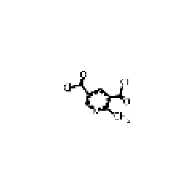 Cc1ncc(C(=O)Cl)cc1C(=O)Cl